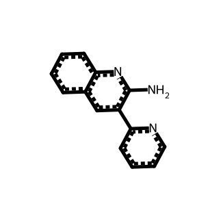 Nc1nc2ccccc2cc1-c1ccccn1